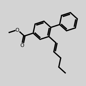 CCCC=Cc1cc(C(=O)OC)ccc1-c1ccccc1